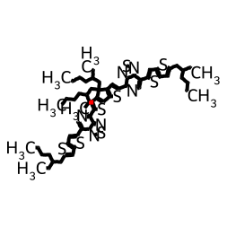 CCCCC(CC)Cc1cc2sc(-c3cnc(-c4cc5c(s4)-c4sc(-c6ncc(-c7cc8sc(CC(CC)CCCC)cc8s7)c7nsnc67)cc4C5(CC(CC)CCCC)CC(CC)CCCC)c4nsnc34)cc2s1